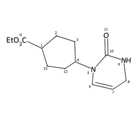 CCOC(=O)C1CCC(N2C=CCNC2=O)CC1